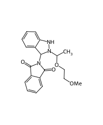 COCCOC(C)N1Nc2ccccc2C1N1C(=O)c2ccccc2C1=O